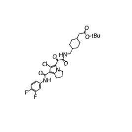 CC(C)(C)OC(=O)CC1CCC(CNC(=O)C(=O)c2c(Cl)c(C(=O)Nc3ccc(F)c(F)c3)c3n2CCC3)CC1